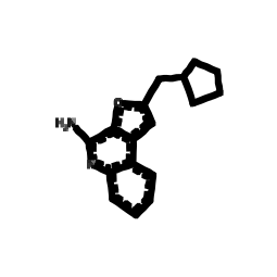 Nc1nc2ccccc2c2cc(CC3CCCC3)oc12